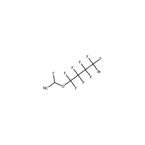 N#CC(F)OC(F)(F)C(F)(F)C(F)(F)C(F)(F)Br